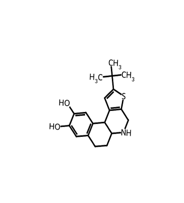 CC(C)(C)c1cc2c(s1)CNC1CCc3cc(O)c(O)cc3C21